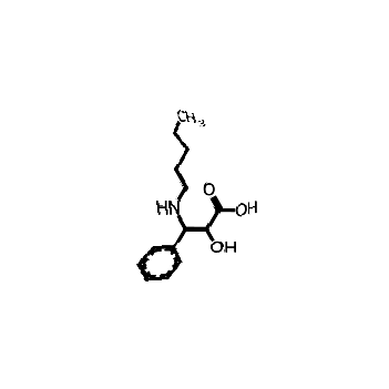 CCCCCNC(c1ccccc1)C(O)C(=O)O